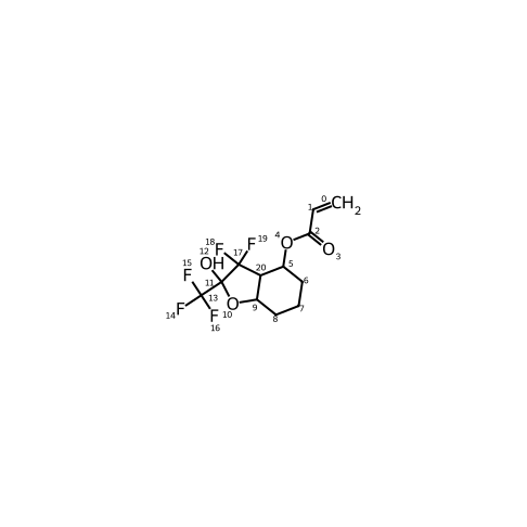 C=CC(=O)OC1CCCC2OC(O)(C(F)(F)F)C(F)(F)C12